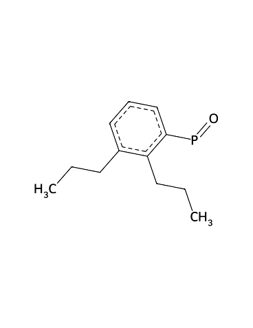 CCCc1cccc(P=O)c1CCC